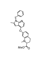 COC(=O)C1CCc2ccc(Oc3ccnc4c3cc(C)n4Sc3ccccc3)cc2N1C